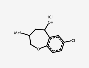 CNC1COc2ccc(Cl)cc2C(O)C1.Cl